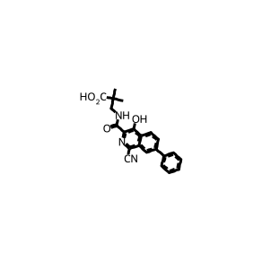 CC(C)(CNC(=O)c1nc(C#N)c2cc(-c3ccccc3)ccc2c1O)C(=O)O